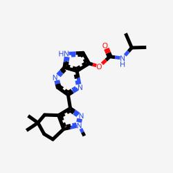 CC(C)NC(=O)Oc1c[nH]c2ncc(-c3nn(C)c4c3CC(C)(C)CC4)nc12